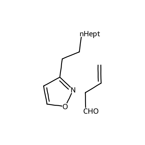 C=CCC=O.CCCCCCCCCc1ccon1